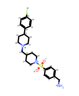 NCc1ccc(S(=O)(=O)N2CCC(CN3CCC(c4ccc(F)cc4)CC3)CC2)cc1